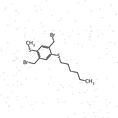 CCCCCCSc1cc(CBr)c(SC)cc1CBr